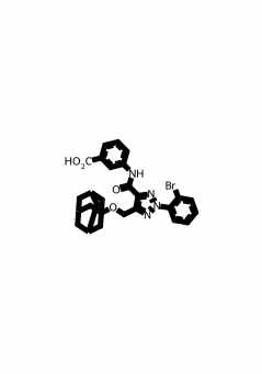 O=C(O)c1cccc(NC(=O)c2nn(-c3ccccc3Br)nc2COC23CC4CC(CC(C4)C2)C3)c1